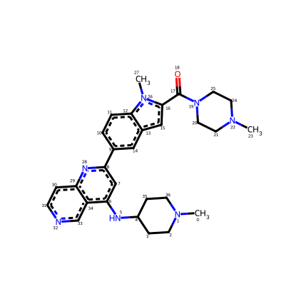 CN1CCC(Nc2cc(-c3ccc4c(c3)cc(C(=O)N3CCN(C)CC3)n4C)nc3ccncc23)CC1